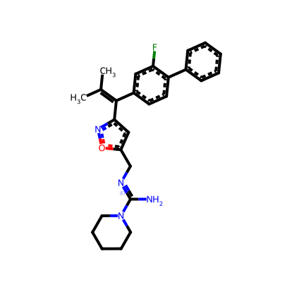 CC(C)=C(c1ccc(-c2ccccc2)c(F)c1)c1cc(C/N=C(\N)N2CCCCC2)on1